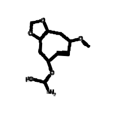 COC1/C=C/C(OC(N)O)CC2OCOC2C1